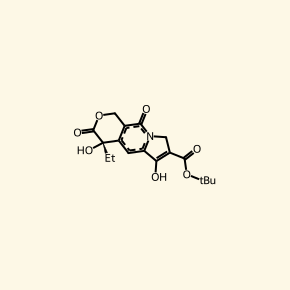 CC[C@@]1(O)C(=O)OCc2c1cc1n(c2=O)CC(C(=O)OC(C)(C)C)=C1O